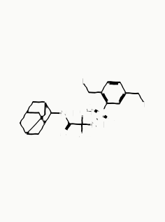 CC(C)(NS(=O)(=O)c1cc(CI)ccc1CI)C(=O)NC1C2CC3CC(C2)CC1C3